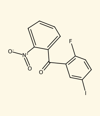 O=C(c1cc(I)ccc1F)c1ccccc1[N+](=O)[O-]